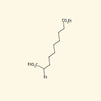 CCOC(=O)CCCCCCCC(CC)C(=O)OCC